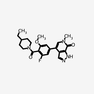 CCC1CCN(C(=O)c2c(F)cc(-c3cn(C)c(=O)c4[nH]ncc34)cc2OC)CC1